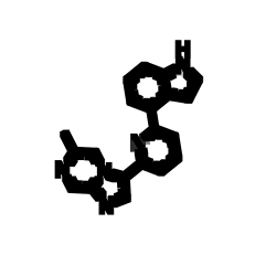 Cc1cn2c(-c3cccc(-c4cccc5[nH]ccc45)n3)cnc2cn1